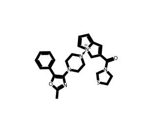 Cc1nc(N2CCN([N@@+]34C=CC=C3C=C(C(=O)N3CCSC3)C4)CC2)c(-c2ccccc2)o1